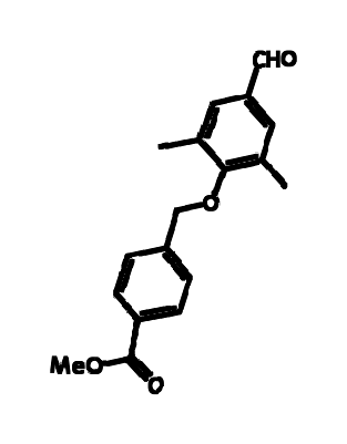 COC(=O)c1ccc(COc2c(C)cc(C=O)cc2C)cc1